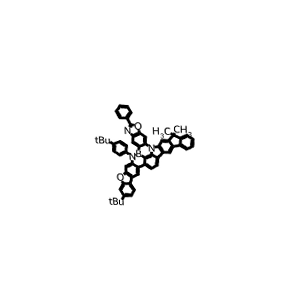 CC(C)(C)c1ccc(N2B3c4cc5nc(-c6ccccc6)oc5cc4-n4c5cc6c(cc5c5ccc(c3c54)-c3cc4c(cc32)oc2cc(C(C)(C)C)ccc24)-c2ccccc2C6(C)C)cc1